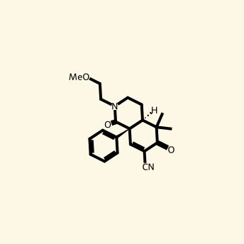 COCCN1CC[C@H]2C(C)(C)C(=O)C(C#N)=C[C@]2(c2ccccc2)C1=O